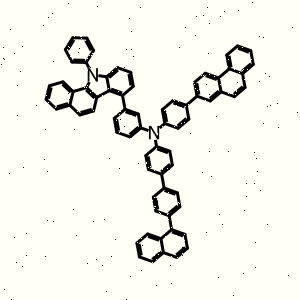 c1ccc(-n2c3cccc(-c4cccc(N(c5ccc(-c6ccc(-c7cccc8ccccc78)cc6)cc5)c5ccc(-c6ccc7c(ccc8ccccc87)c6)cc5)c4)c3c3ccc4ccccc4c32)cc1